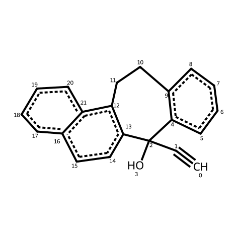 C#CC1(O)c2ccccc2CCc2c1ccc1ccccc21